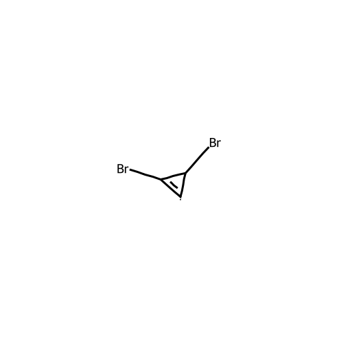 BrC1=[C]C1Br